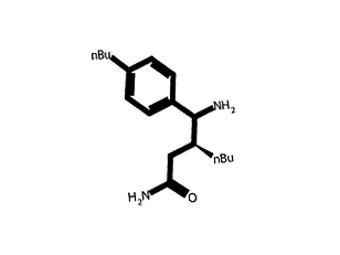 CCCCc1ccc(C(N)[C@@H](CCCC)CC(N)=O)cc1